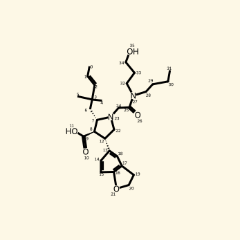 C/C=C/C(C)(C)C[C@H]1[C@H](C(=O)O)[C@@H](c2ccc3c(c2)CCO3)CN1CC(=O)N(CCCC)CCCO